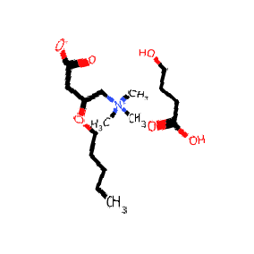 CCCCCOC(CC(=O)[O-])C[N+](C)(C)C.O=C(O)CCCO